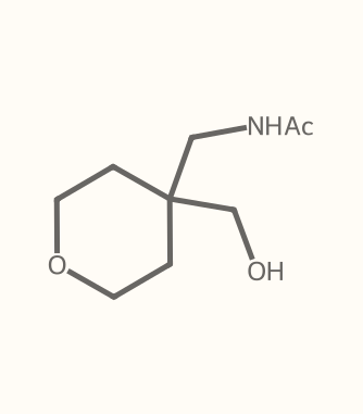 CC(=O)NCC1(CO)CCOCC1